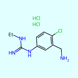 CCNC(=N)Nc1ccc(Cl)c(CN)c1.Cl.Cl